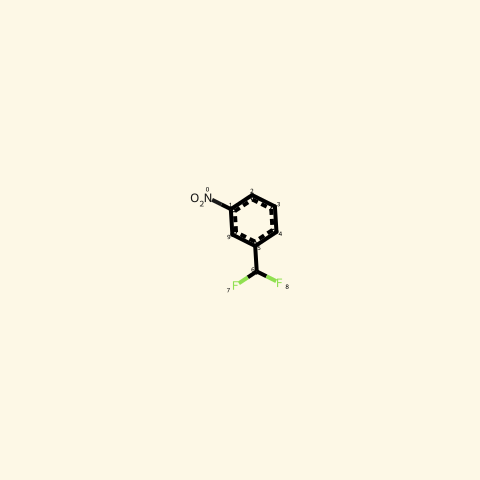 O=[N+]([O-])c1cccc([C](F)F)c1